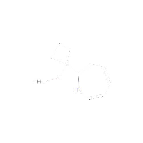 O=COC1(C2=CC=CC=CN2)CCC1